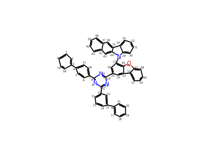 c1ccc(-c2ccc(-c3nc(-c4cccc(-c5ccccc5)c4)nc(-c4cc(-n5c6ccccc6c6cc7ccccc7cc65)c5oc6ccccc6c5c4)n3)cc2)cc1